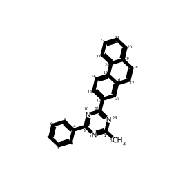 Cc1nc(-c2ccccc2)nc(-c2ccc3c(ccc4ccccc43)c2)n1